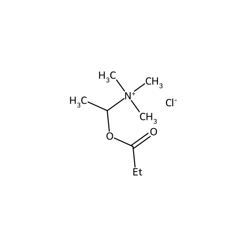 CCC(=O)OC(C)[N+](C)(C)C.[Cl-]